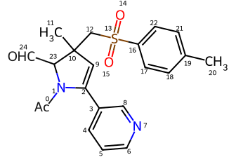 CC(=O)N1C(c2cccnc2)=CC(C)(CS(=O)(=O)c2ccc(C)cc2)C1C=O